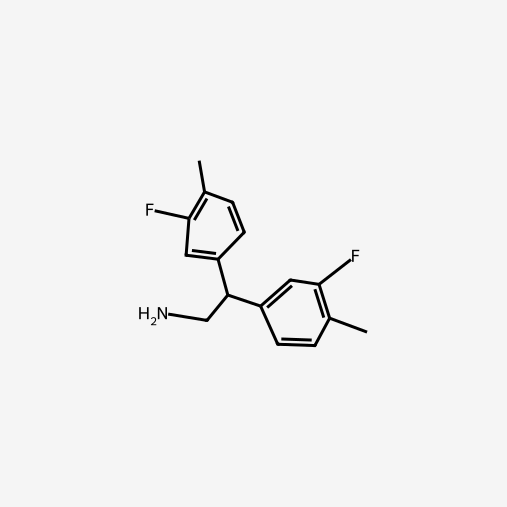 Cc1ccc(C(CN)c2ccc(C)c(F)c2)cc1F